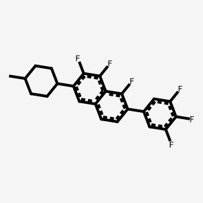 CC1CCC(c2cc3ccc(-c4cc(F)c(F)c(F)c4)c(F)c3c(F)c2F)CC1